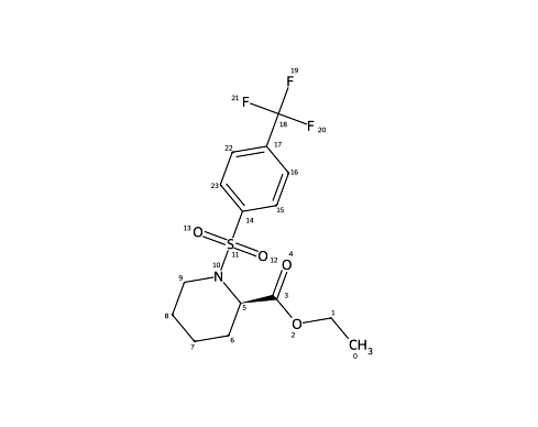 CCOC(=O)[C@H]1CCCCN1S(=O)(=O)c1ccc(C(F)(F)F)cc1